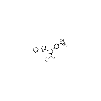 CC(C)c1ccc(C2CC(c3nc(-c4ccccc4)co3)CN(C(=O)C3CCCC3)C2)cc1